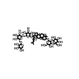 CC(C)=CCC[C@](C)(O[C@@H]1O[C@H](CO[C@@H]2O[C@H](CO[C@@H]3OC[C@@H](O)[C@H](O)[C@H]3O)[C@@H](O)[C@H](O)[C@H]2O)[C@@H](O)[C@H](O)[C@H]1O)[C@H]1CC[C@]2(C)[C@@H]1[C@H](O)C[C@@H]1[C@@]3(C)CC[C@H](O[C@@H]4O[C@H](CO)[C@@H](O)[C@H](O)[C@H]4O[C@@H]4O[C@H](CO)[C@@H](O)[C@H](O)[C@H]4O)C(C)(C)[C@@H]3CC[C@]12C